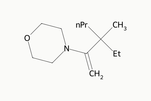 C=C(N1CCOCC1)C(C)(CC)CCC